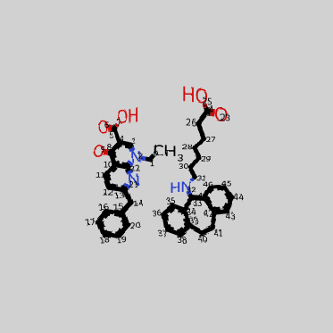 CCn1cc(C(=O)O)c(=O)c2ccc(Cc3ccccc3)nc21.O=C(O)CCCCCCNC1c2ccccc2CCc2ccccc21